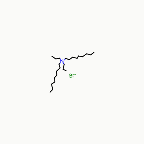 CCCCCCCCC[N+](CCC)(CCC)CCCCCCCCC.[Br-]